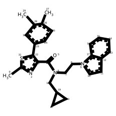 Cc1nc(C(=O)N(CCn2ccc3ccccc32)CC2CC2)c(-c2ccc(C)c(C)c2)s1